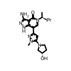 CC(C)[C@H](C)n1cc(-c2cc(N3CC[C@H](O)C3)n(C)n2)c2[nH]nc(N)c2c1=O